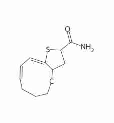 NC(=O)C1CC2CCCCC=CC=C2S1